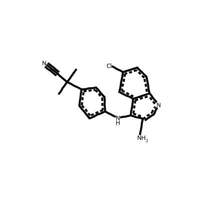 CC(C)(C#N)c1ccc(Nc2c(N)cnc3ccc(Cl)cc23)cc1